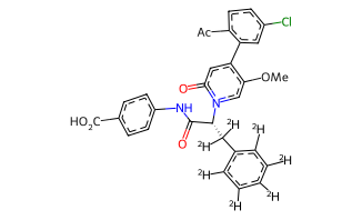 [2H]c1c([2H])c([2H])c(C([2H])([2H])[C@H](C(=O)Nc2ccc(C(=O)O)cc2)n2cc(OC)c(-c3cc(Cl)ccc3C(C)=O)cc2=O)c([2H])c1[2H]